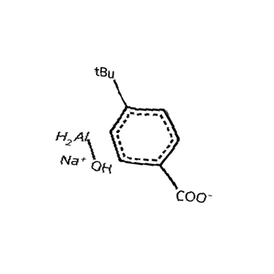 CC(C)(C)c1ccc(C(=O)[O-])cc1.[Na+].[OH][AlH2]